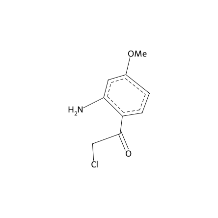 COc1ccc(C(=O)CCl)c(N)c1